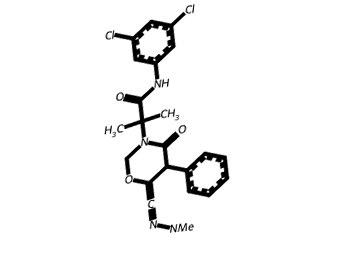 CNN=C=C1OCN(C(C)(C)C(=O)Nc2cc(Cl)cc(Cl)c2)C(=O)C1c1ccccc1